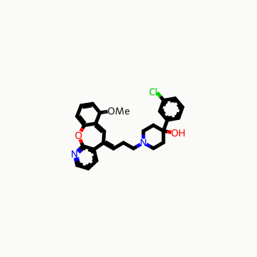 COC1C=CC=C2Oc3ncccc3C(=CCCN3CCC(O)(c4cccc(Cl)c4)CC3)C=C21